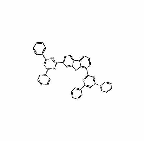 c1ccc(-c2cc(-c3ccccc3)nc(-c3cccc4c3oc3cc(-c5nc(-c6ccccc6)nc(-c6ccccc6)n5)ccc34)n2)cc1